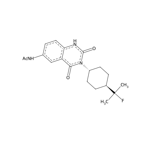 CC(=O)Nc1ccc2[nH]c(=O)n([C@H]3CC[C@H](C(C)(C)F)CC3)c(=O)c2c1